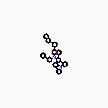 c1ccc(-c2cccc(N(c3ccc(-c4cccc(-c5ccc6ccccc6c5)c4)cc3)c3ccc(-c4ccccc4-n4c5ccccc5c5ccccc54)cc3-c3ccccc3)c2)cc1